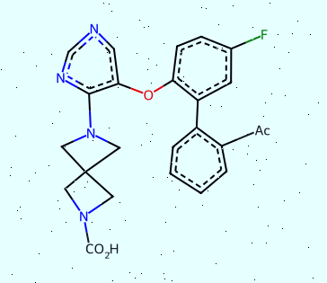 CC(=O)c1ccccc1-c1cc(F)ccc1Oc1cncnc1N1CC2(CN(C(=O)O)C2)C1